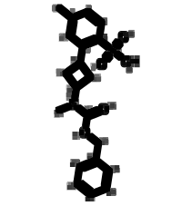 Cc1ccc(S(=O)(=O)O)c(C2CC(N(C)C(=O)OCc3ccccc3)C2)c1